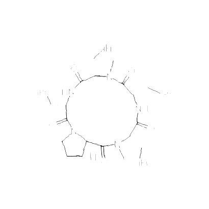 CC(C)C[C@@H]1NC(=O)[C@H](CC(C)C)N(C)C(=O)[C@H]2CCCN2C(=O)[C@H](CC(C)C)NC(=O)[C@H](CC(C)C)N(C)C1=O